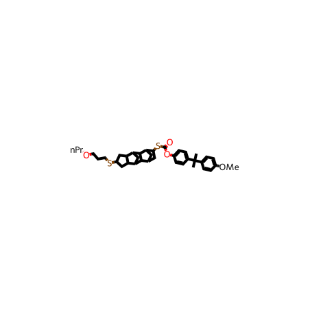 CCCOCCCSC1CC2C(C1)C1CC2C2C3CC(SC(=O)Oc4ccc(C(C)(C)c5ccc(OC)cc5)cc4)C(C3)C12